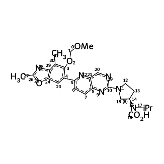 COCOc1c(-c2ccc3nc(N4CC[C@@H](N(C(=O)O)C(C)C)C4)ncc3n2)cc2oc(C)nc2c1C